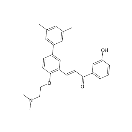 Cc1cc(C)cc(-c2ccc(OCCN(C)C)c(C=CC(=O)c3cccc(O)c3)c2)c1